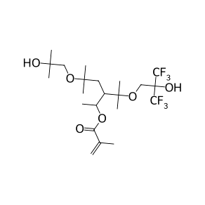 C=C(C)C(=O)OC(C)C(CC(C)(C)OCC(C)(C)O)C(C)(C)OCC(O)(C(F)(F)F)C(F)(F)F